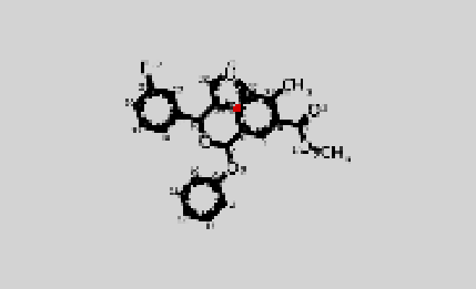 COC(=O)c1cc(C(Oc2ccccc2)OC(c2cccc(F)c2)c2cocn2)ccc1C